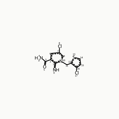 N=c1c(C(N)=O)cc(Cl)cn1Cc1sccc1Cl